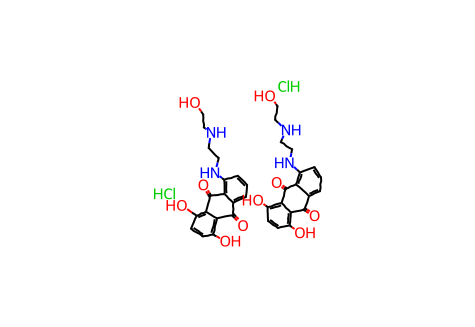 Cl.Cl.O=C1c2cccc(NCCNCCO)c2C(=O)c2c(O)ccc(O)c21.O=C1c2cccc(NCCNCCO)c2C(=O)c2c(O)ccc(O)c21